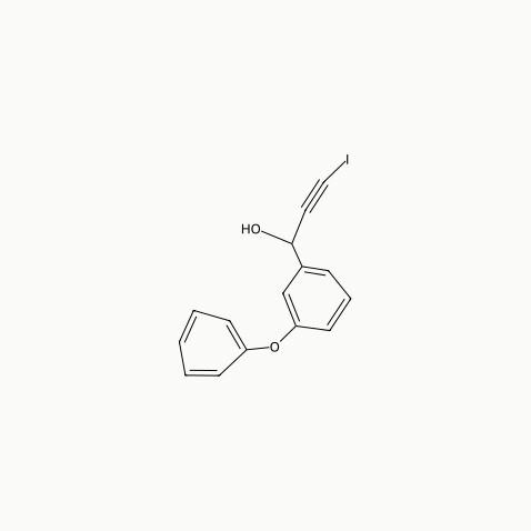 OC(C#CI)c1cccc(Oc2ccccc2)c1